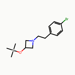 C[Si](C)(C)OC1CN(CCc2ccc(Br)cc2)C1